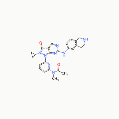 CC(=O)N(C)c1cccc(-n2c3nc(Nc4ccc5c(c4)CCNC5)ncc3c(=O)n2C2CC2)n1